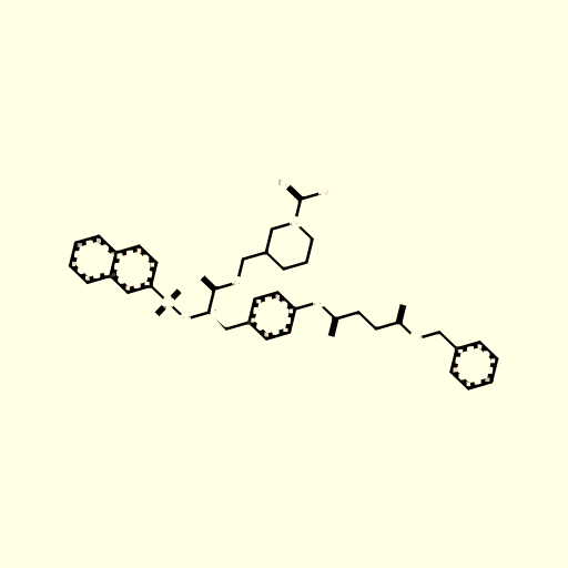 Cl.N=C(N)N1CCCC(CNC(=O)[C@@H](Cc2ccc(NC(=O)CCC(=O)OCc3ccccc3)cc2)NS(=O)(=O)c2ccc3ccccc3c2)C1